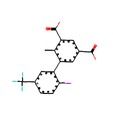 Cc1c(C(=O)O)cc(C(=O)O)cc1-c1cc(C(F)(F)F)ccc1I